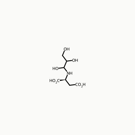 O=C(O)C[C@H](NC(O)C(O)CO)C(=O)O